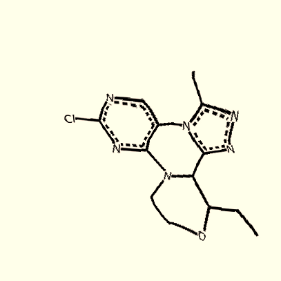 CCC1OCCN2c3nc(Cl)ncc3-n3c(C)nnc3C12